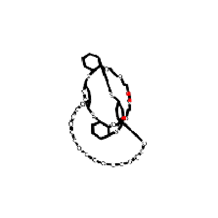 C1CC2SC3CCC4SC5CCCC6SC7CCC(CC7OCCOCCOCCOCCOCCOC4C3)SC(C1)C2OCCOCCOCCOCCOCCOC56